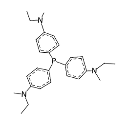 CCN(C)c1ccc(P(c2ccc(N(C)CC)cc2)c2ccc(N(C)CC)cc2)cc1